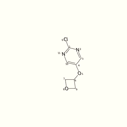 Clc1ncc(OC2COC2)cn1